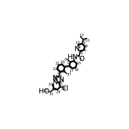 Cc1c(NC(=O)c2ccc(C(C)C)cn2)cccc1-c1cccc(-c2nc3c(Cl)cc(CO)cn3n2)c1C